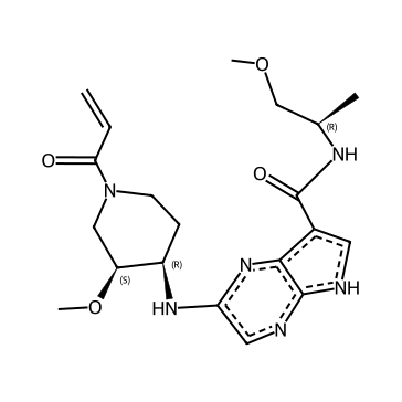 C=CC(=O)N1CC[C@@H](Nc2cnc3[nH]cc(C(=O)N[C@H](C)COC)c3n2)[C@@H](OC)C1